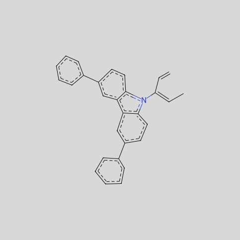 C=C/C(=C\C)n1c2ccc(-c3ccccc3)cc2c2cc(-c3ccccc3)ccc21